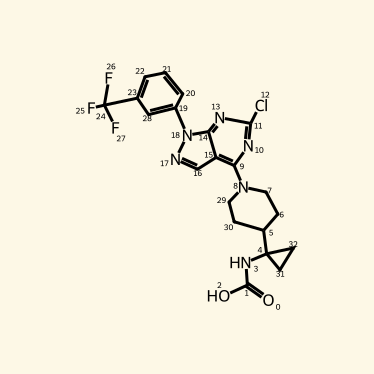 O=C(O)NC1(C2CCN(c3nc(Cl)nc4c3cnn4-c3cccc(C(F)(F)F)c3)CC2)CC1